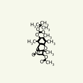 CC(=O)OC(C[N+](=O)[O-])C1(C)CCc2c(C)c(OC(=O)OC(C)(C)C)c(C)c(C)c2O1